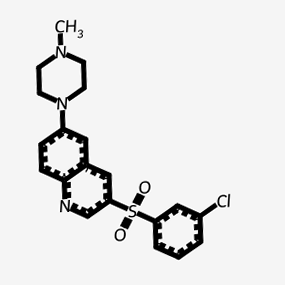 CN1CCN(c2ccc3ncc(S(=O)(=O)c4cccc(Cl)c4)cc3c2)CC1